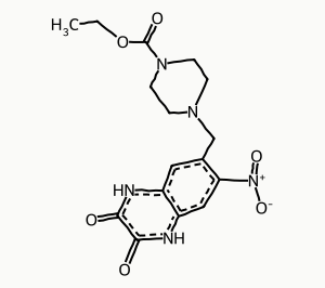 CCOC(=O)N1CCN(Cc2cc3[nH]c(=O)c(=O)[nH]c3cc2[N+](=O)[O-])CC1